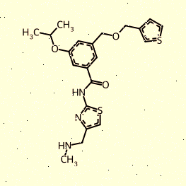 CNCc1csc(NC(=O)c2cc(COCc3ccsc3)cc(OC(C)C)c2)n1